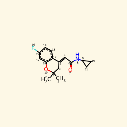 CC1(C)CC(=CC(=O)NC2CC2)c2ccc(F)cc2O1